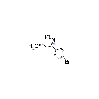 C=CC/C(=N\O)c1ccc(Br)cc1